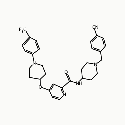 N#Cc1ccc(CN2CCC(NC(=O)c3cc(OC4CCN(c5ccc(C(F)(F)F)cc5)CC4)ccn3)CC2)cc1